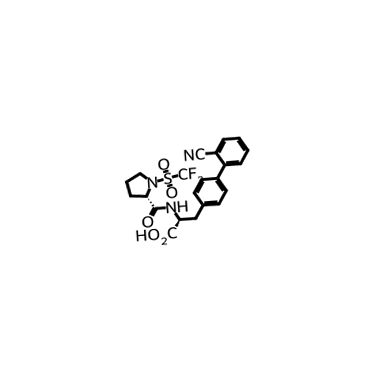 N#Cc1ccccc1-c1ccc(C[C@H](NC(=O)[C@@H]2CCCN2S(=O)(=O)C(F)(F)F)C(=O)O)cc1